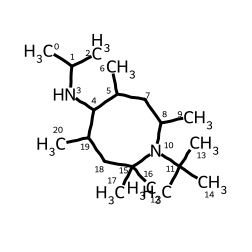 CC(C)NC1C(C)CC(C)N(C(C)(C)C)C(C)(C)CC1C